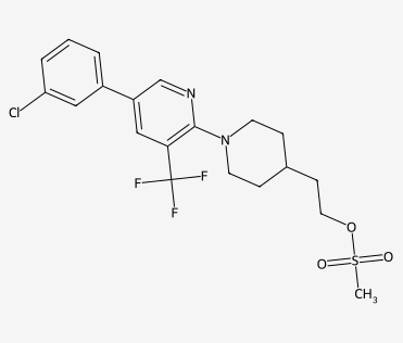 CS(=O)(=O)OCCC1CCN(c2ncc(-c3cccc(Cl)c3)cc2C(F)(F)F)CC1